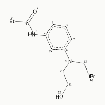 CCC(=O)Nc1cccc(N(CCO)CC(C)C)c1